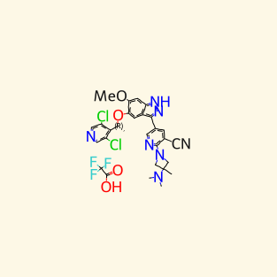 COc1cc2[nH]nc(-c3cnc(N4CC(C)(N(C)C)C4)c(C#N)c3)c2cc1O[C@H](C)c1c(Cl)cncc1Cl.O=C(O)C(F)(F)F